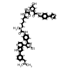 CCN1CC(c2ccnc3[nH]c(-c4cccc(CN(C)C)c4)cc23)C(c2ccc(NC(=O)N(C)CCCCC(=O)NC(C(=O)N3CC(O)CC3C(=O)NCc3ccc(-c4cncs4)cc3)C(C)(C)C)cc2)=N1